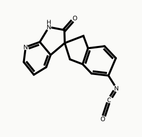 O=C=Nc1ccc2c(c1)CC1(C2)C(=O)Nc2ncccc21